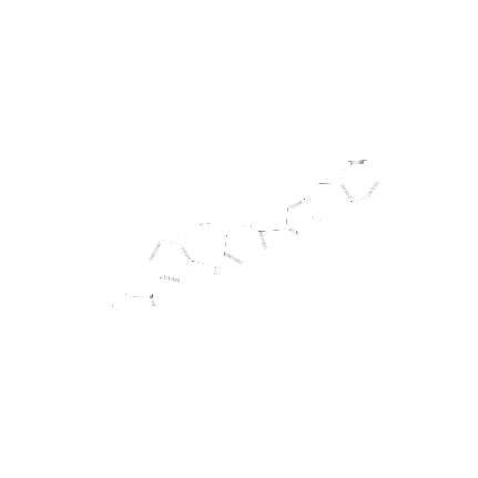 CN1C(=O)C(NC(=O)c2cc(Cc3ccccc3)[nH]n2)COc2ccc(C(=O)NN)cc21